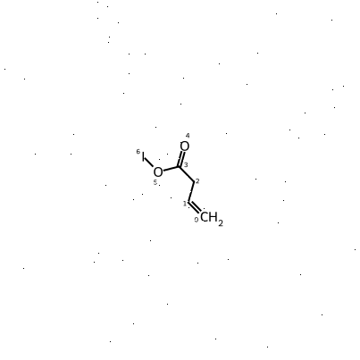 C=CCC(=O)OI